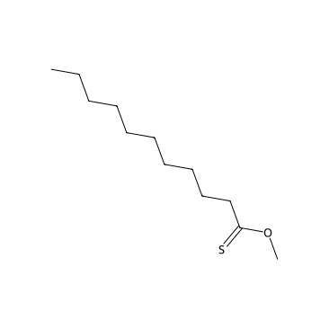 CCCCCCCCCCC(=S)OC